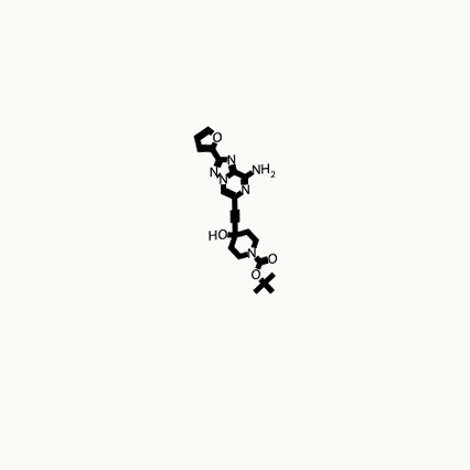 CC(C)(C)OC(=O)N1CCC(O)(C#Cc2cn3nc(-c4ccco4)nc3c(N)n2)CC1